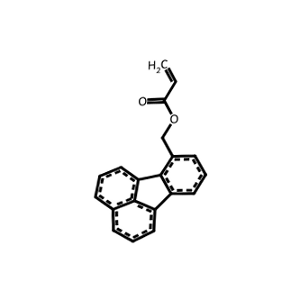 C=CC(=O)OCc1cccc2c1-c1cccc3cccc-2c13